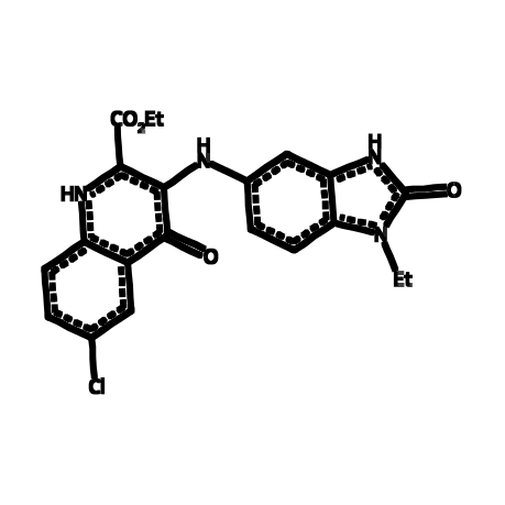 CCOC(=O)c1[nH]c2ccc(Cl)cc2c(=O)c1Nc1ccc2c(c1)[nH]c(=O)n2CC